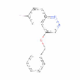 Ic1ccc2nncc(OCc3ccccc3)c2c1